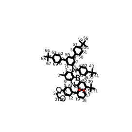 Cc1cc2c3c(c1)N(c1cc4c(cc1-c1ccccc1)OCCO4)c1ccc(C(C)(C)C)cc1B3c1cc(C(C)(C)C)ccc1N2c1cc(-c2ccc(C(C)(C)C)cc2)cc(-c2ccc(C(C)(C)C)cc2)c1